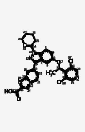 C[C@@H](Oc1ccc2c(c1)c(-c1ccn3cc(C(=O)O)nc3c1)nn2C1CCCCO1)c1c(Cl)cncc1Cl